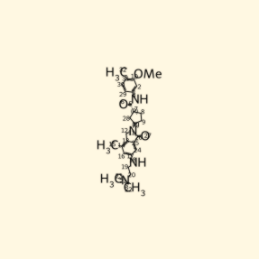 COc1cc(NC(=O)[C@@H]2CC[C@@H](N3Cc4c(C)cc(NCCN(C)C)cc4C3=O)C2)ccc1C